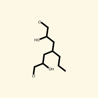 CCCC(CC(O)CCl)CC(O)CCl